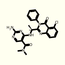 C[C@H](Nc1nc(N)ncc1C(=O)N(C)C)c1nc2cccc(Cl)c2c(=O)n1-c1ccccc1